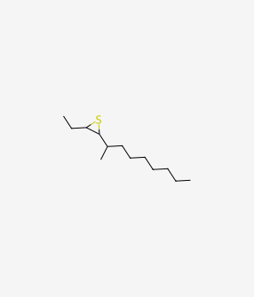 CCCCCCCC(C)C1SC1CC